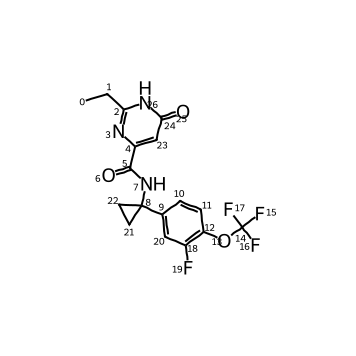 CCc1nc(C(=O)NC2(c3ccc(OC(F)(F)F)c(F)c3)CC2)cc(=O)[nH]1